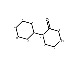 O=C1C[N]CCN1C1CCCCC1